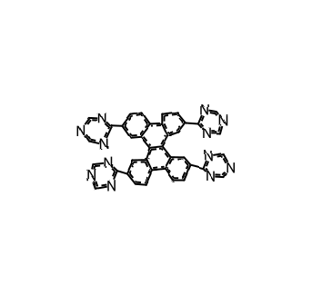 c1ncnc(-c2ccc3c4ccc(-c5ncncn5)cc4c4c5cc(-c6ncncn6)ccc5c5ccc(-c6ncncn6)cc5c4c3c2)n1